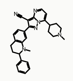 CN1CCC(c2ccnc3c(C#N)c(-c4ccc5c(c4)N(C)C(c4ccccc4)CC5)nn23)CC1